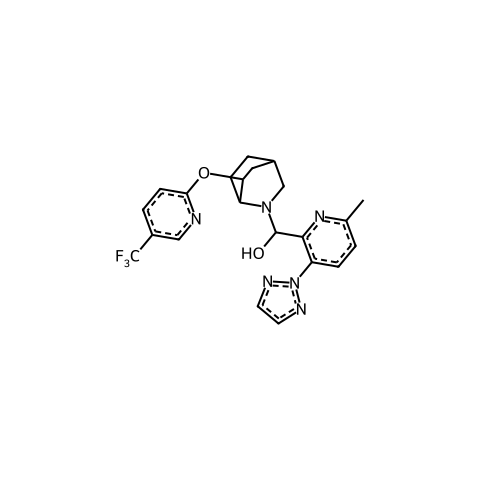 Cc1ccc(-n2nccn2)c(C(O)N2CC3CCC2C(Oc2ccc(C(F)(F)F)cn2)C3)n1